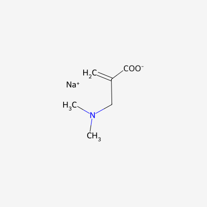 C=C(CN(C)C)C(=O)[O-].[Na+]